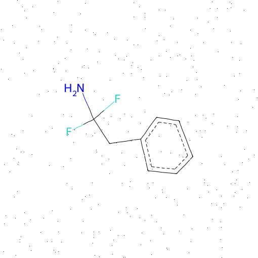 NC(F)(F)Cc1ccccc1